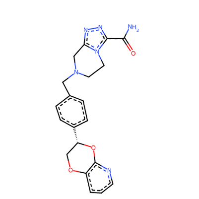 NC(=O)c1nnc2n1CCN(Cc1ccc([C@H]3COc4cccnc4O3)cc1)C2